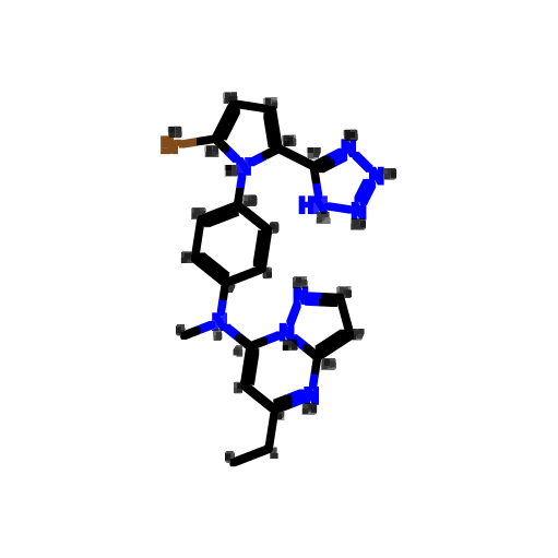 CCc1cc(N(C)c2ccc(-n3c(Br)ccc3-c3nnn[nH]3)cc2)n2nccc2n1